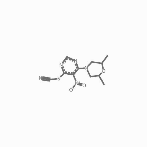 CC1CN(c2ncnc(SC#N)c2[N+](=O)[O-])CC(C)O1